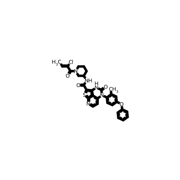 CC=C(Cl)C(=O)N1CCCC(NC(=O)c2sc3nccc4c3c2NC(=O)N4c2ccc(Oc3ccccc3)cc2C)C1